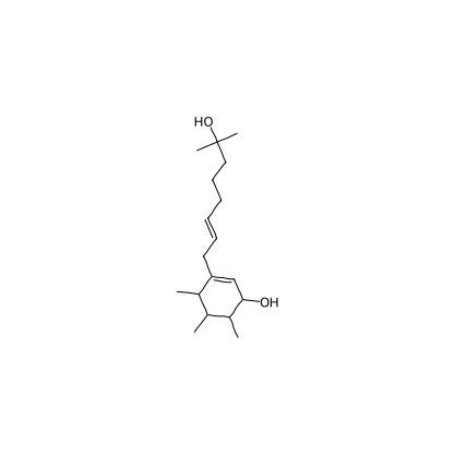 CC1C(C/C=C/CCCC(C)(C)O)=CC(O)C(C)C1C